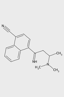 CC(CC(=N)c1ccc(C#N)c2ccccc12)N(C)C